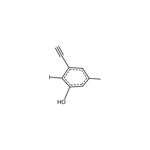 C#Cc1cc(C)cc(O)c1I